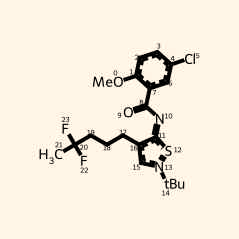 COc1ccc(Cl)cc1C(=O)N=c1sn(C(C)(C)C)cc1CCCC(C)(F)F